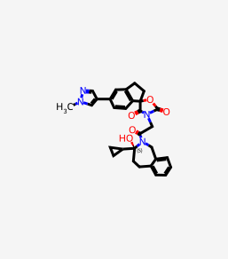 Cn1cc(-c2ccc3c(c2)CCC32OC(=O)N(CC(=O)N3Cc4ccccc4CC[C@]3(O)C3CC3)C2=O)cn1